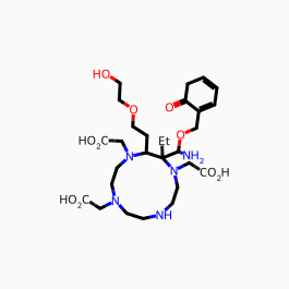 CCC1(C(N)OCC2=CC=CCC2=O)C(CCOCCO)N(CC(=O)O)CCN(CC(=O)O)CCNCCN1CC(=O)O